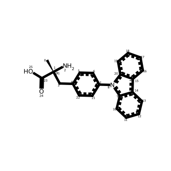 C[C@@](N)(Cc1ccc(-n2c3ccccc3c3ccccc32)cc1)C(=O)O